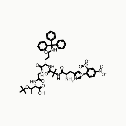 C[C@@H](OC(C)(C)C)[C@H](NC(=O)CNC(=O)[C@H](CCC(=O)NC(c1ccccc1)(c1ccccc1)c1ccccc1)NC(=O)C(C)(C)NC(=O)[C@@H](N)Cc1cn(-c2ccc([N+](=O)[O-])cc2[N+](=O)[O-])cn1)C(=O)O